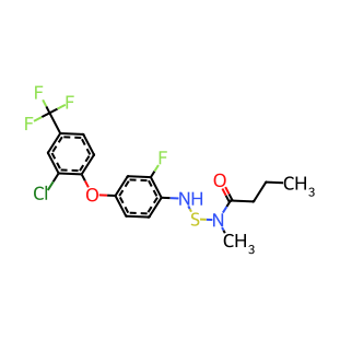 CCCC(=O)N(C)SNc1ccc(Oc2ccc(C(F)(F)F)cc2Cl)cc1F